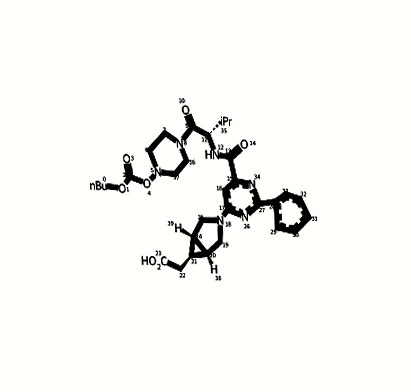 CCCCOC(=O)ON1CCN(C(=O)[C@@H](NC(=O)c2cc(N3C[C@@H]4[C@@H](CC(=O)O)[C@@H]4C3)nc(-c3ccccc3)n2)C(C)C)CC1